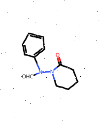 O=[C]N(c1ccccc1)N1CCCCC1=O